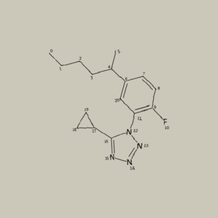 CCCCC(C)c1ccc(F)c(-n2nnnc2C2CC2)c1